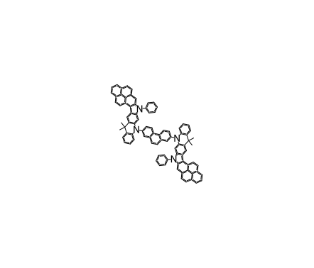 CC1(C)c2ccccc2N(c2ccc3c(ccc4cc(N5c6ccccc6C(C)(C)c6cc7c8c9ccc%10cccc%11ccc(cc8n(-c8ccccc8)c7cc65)c9c%11%10)ccc43)c2)c2cc3c(cc21)c1c2ccc4cccc5ccc(cc1n3-c1ccccc1)c2c54